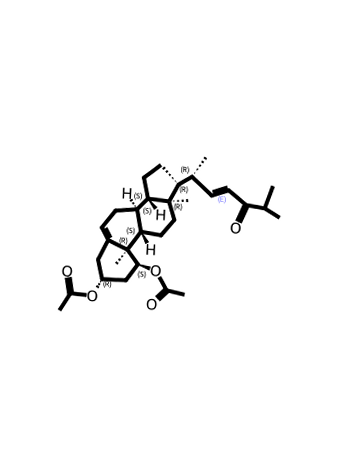 CC(=O)O[C@@H]1CC2=CC[C@H]3[C@@H]4CC[C@H]([C@H](C)/C=C/C(=O)C(C)C)[C@@]4(C)CC[C@@H]3[C@@]2(C)[C@@H](OC(C)=O)C1